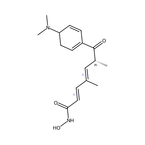 CC(/C=C/C(=O)NO)=C\[C@@H](C)C(=O)C1=CCC(N(C)C)C=C1